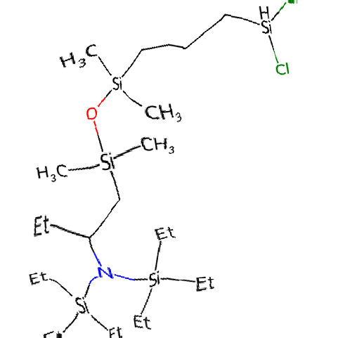 CCC(C[Si](C)(C)O[Si](C)(C)CCC[SiH](Cl)Cl)N([Si](CC)(CC)CC)[Si](CC)(CC)CC